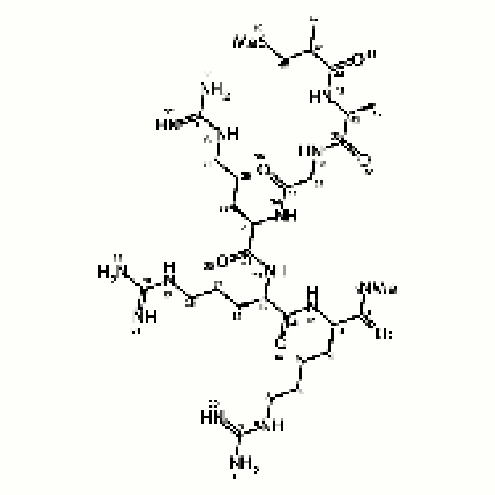 CNC(=O)[C@@H](CCCCNC(=N)N)NC(=O)[C@@H](CCCNC(=N)N)NC(=O)[C@@H](CCCNC(=N)N)NC(=O)CNC(=O)[C@H](C)NC(=O)C(C)CSC